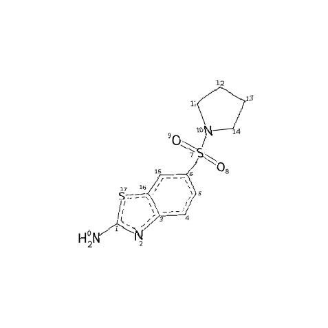 Nc1nc2ccc(S(=O)(=O)N3CCCC3)cc2s1